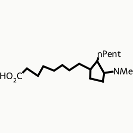 CCCCCC1C(CCCCCCCC(=O)O)CCC1NC